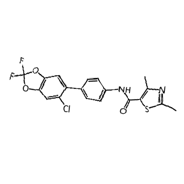 Cc1nc(C)c(C(=O)Nc2ccc(-c3cc4c(cc3Cl)OC(F)(F)O4)cc2)s1